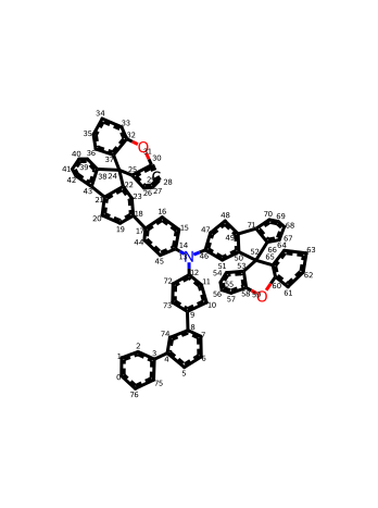 c1ccc(-c2cccc(-c3ccc(N(c4ccc(-c5ccc6c(c5)C5(c7ccccc7Oc7ccccc75)c5ccccc5-6)cc4)c4ccc5c(c4)C4(c6ccccc6Oc6ccccc64)c4ccccc4-5)cc3)c2)cc1